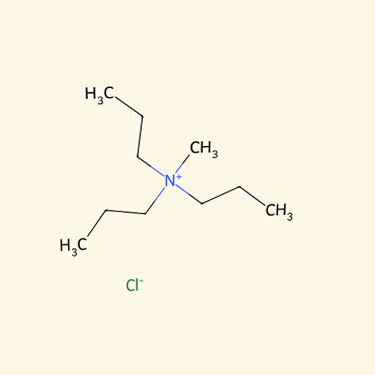 CCC[N+](C)(CCC)CCC.[Cl-]